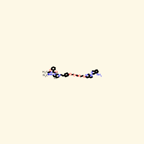 CNC(C)C(=O)N[C@H](C(=O)N1CC[C@H]2CCN(CCc3ccc(OCCOCCOCCOc4cc5ccn(-c6cc7c(N)cccc7cn6)c5cn4)cc3)C[C@H]21)C1CCCCC1